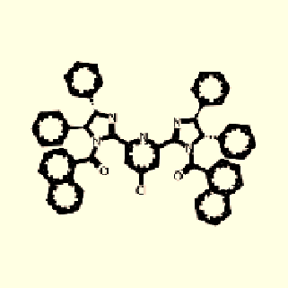 O=C(c1cccc2ccccc12)N1C(c2cc(Cl)cc(C3=N[C@@H](c4ccccc4)[C@H](c4ccccc4)N3C(=O)c3cccc4ccccc34)n2)=N[C@@H](c2ccccc2)[C@@H]1c1ccccc1